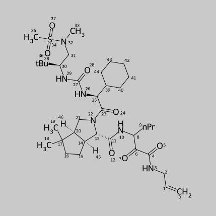 C=CCNC(=O)C(=O)C(CCC)NC(=O)[C@@H]1[C@H]2CCC(C)(C)[C@H]2CN1C(=O)[C@@H](NC(=O)N[C@H](CN(C)S(C)(=O)=O)C(C)(C)C)C1CCCCC1